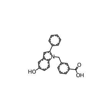 O=C(O)c1cccc(Cn2c(-c3ccccc3)cc3cc(O)ccc32)c1